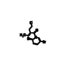 Cc1nc2ccc(Br)cn2c(=O)c1CCCl